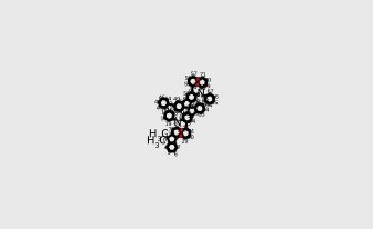 CC1(C)c2ccccc2-c2ccc(N(c3ccccc3)c3cc4c(cc3-c3ccccc3)-c3ccccc3C43c4ccc(-c5ccccc5)cc4-c4cc(-c5ccccc5)c(N(c5ccccc5)c5ccccc5)cc43)cc21